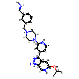 C/N=C/c1cccc(CN2CCN(c3cc(-c4n[nH]c5cnc(OC(C)C)cc45)ccn3)CC2)c1